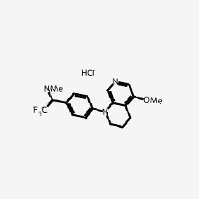 CN[C@@H](c1ccc(N2CCCc3c(OC)cncc32)cc1)C(F)(F)F.Cl